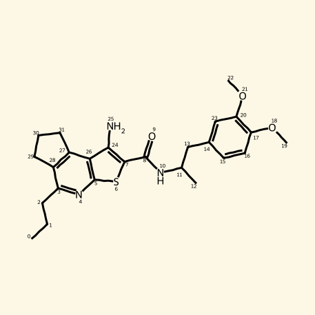 CCCc1nc2sc(C(=O)NC(C)Cc3ccc(OC)c(OC)c3)c(N)c2c2c1CCC2